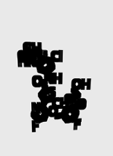 Cc1sc(C(=O)Nc2cc(Cl)cc(NS(C)(=O)=O)c2)cc1-c1ncc(F)cc1OCc1cc(F)cc(S(=O)(=O)CCO)c1